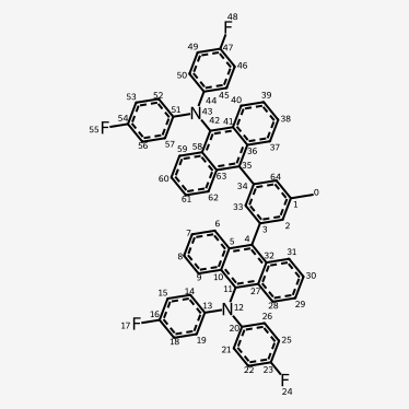 Cc1cc(-c2c3ccccc3c(N(c3ccc(F)cc3)c3ccc(F)cc3)c3ccccc23)cc(-c2c3ccccc3c(N(c3ccc(F)cc3)c3ccc(F)cc3)c3ccccc23)c1